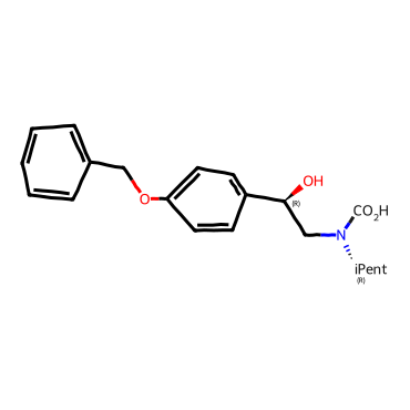 CCC[C@@H](C)N(C[C@H](O)c1ccc(OCc2ccccc2)cc1)C(=O)O